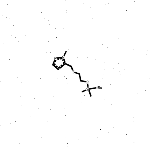 Cn1nccc1CSCCO[Si](C)(C)C(C)(C)C